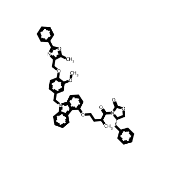 COc1cc(Cn2c3ccccc3c3c(OCCC(C)C(=O)N4C(=O)OC[C@@H]4Cc4ccccc4)cccc32)ccc1OCc1nc(-c2ccccc2)oc1C